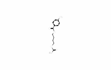 CCC(C)C(=O)OCCCCOC(=O)c1ccc(C#N)cc1